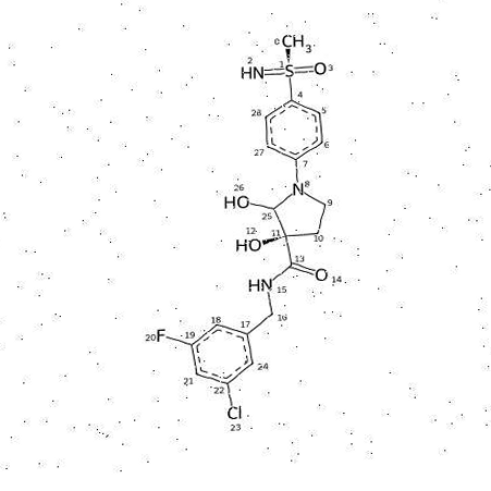 C[S@@](=N)(=O)c1ccc(N2CC[C@](O)(C(=O)NCc3cc(F)cc(Cl)c3)C2O)cc1